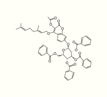 CC(=O)Oc1c(OC/C=C(\C)CCC=C(C)C)c2ccc(O[C@@H]3O[C@H](COC(=O)c4ccccc4)[C@@H](OC(=O)c4ccccc4)[C@H](OC(=O)c4ccccc4)[C@H]3OC(=O)c3ccccc3)cc2oc1=O